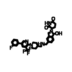 O=C1CCC(N2Cc3cc(CNCC4CCN(c5ncc(-c6cccc(F)c6)cc5C(F)(F)F)CC4)ccc3C2O)C(=O)N1